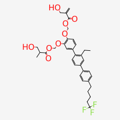 C=C(CO)C(=O)OCOc1ccc(-c2ccc(-c3ccc(CCCCC(F)(F)F)cc3)cc2CC)cc1OCOC(=O)C(C)CO